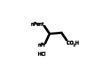 CCCCCC(CCC)CC(=O)O.Cl